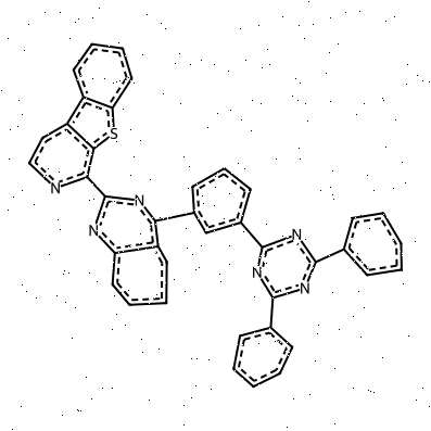 c1ccc(-c2nc(-c3ccccc3)nc(-c3cccc(-c4nc(-c5nccc6c5sc5ccccc56)nc5ccccc45)c3)n2)cc1